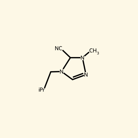 CC(C)CN1C=NN(C)C1C#N